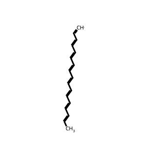 [CH]=C/C=C/C=C/C=C/C=C/C=C/C=C/C=C/C